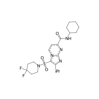 CC(C)c1nc2nc(C(=O)NC3CCCCC3)ccn2c1S(=O)(=O)N1CCC(F)(F)CC1